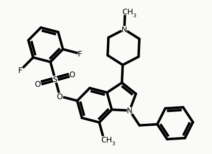 Cc1cc(OS(=O)(=O)c2c(F)cccc2F)cc2c(C3CCN(C)CC3)cn(Cc3ccccc3)c12